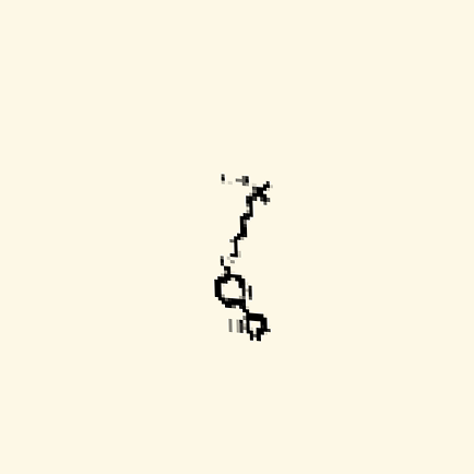 CC(C)(C=O)CCCCCCOC1=CCC=C(c2ccn[nH]2)N=C1